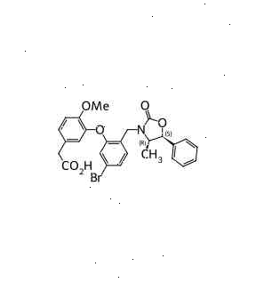 COc1ccc(CC(=O)O)cc1Oc1cc(Br)ccc1CN1C(=O)O[C@@H](c2ccccc2)[C@H]1C